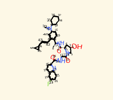 C[C@H](NC(=O)[C@@H]1C[C@@H](O)CN1C(=O)CNC(=O)c1ccc2cc(F)ccc2n1)c1ccc(N(C)C2CCCCC2)cc1/C=C/C1CC1